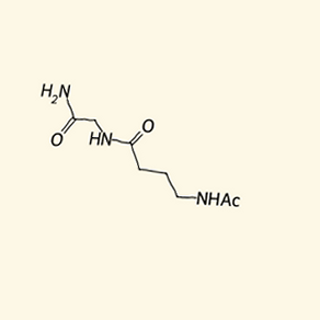 CC(=O)NCCCC(=O)NCC(N)=O